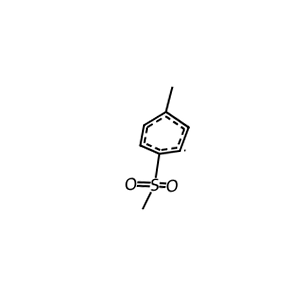 Cc1c[c]c(S(C)(=O)=O)cc1